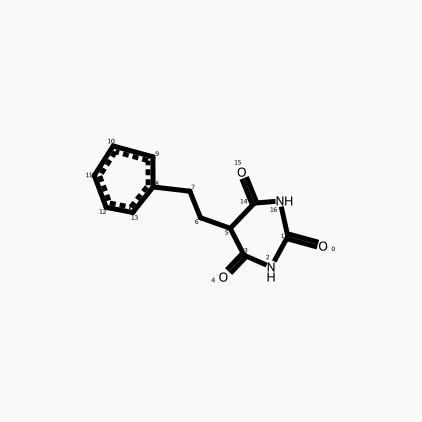 O=C1NC(=O)C(CCc2ccccc2)C(=O)N1